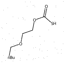 CCCCCOCCOC(=O)S